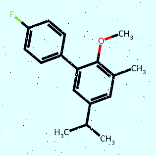 COc1c(C)cc(C(C)C)cc1-c1ccc(F)cc1